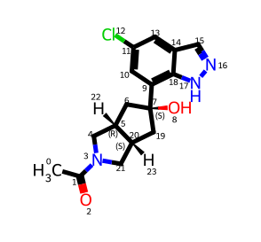 CC(=O)N1C[C@@H]2C[C@](O)(c3cc(Cl)cc4cn[nH]c34)C[C@@H]2C1